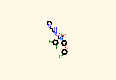 O=C1O[C@@H](CNCCCN2CCCC2)[C@H](c2cc(F)cc(F)c2)N1c1ccc(Oc2ccc(Cl)cc2)cc1